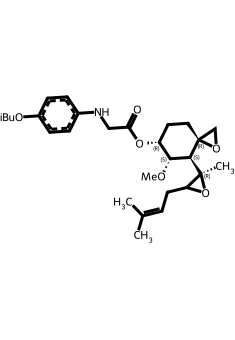 CO[C@@H]1[C@H](OC(=O)CNc2ccc(OCC(C)C)cc2)CC[C@]2(CO2)[C@H]1[C@@]1(C)OC1CC=C(C)C